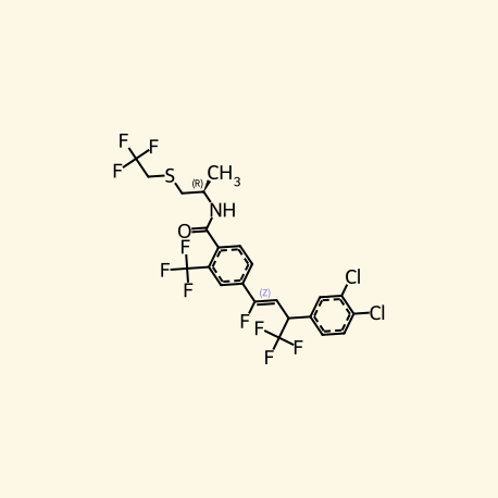 C[C@H](CSCC(F)(F)F)NC(=O)c1ccc(/C(F)=C/C(c2ccc(Cl)c(Cl)c2)C(F)(F)F)cc1C(F)(F)F